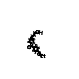 CCOCc1ccc(C(=O)N2CCN(CCCO)CC2)cc1